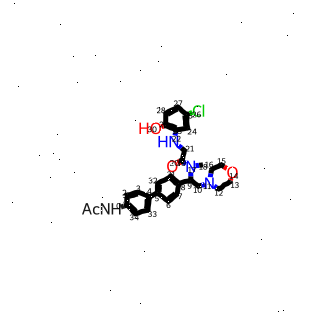 CC(=O)Nc1ccc(-c2ccc(C(CN3CCOCC3)N(C)C(=O)CNc3cc(Cl)ccc3O)cc2)cc1